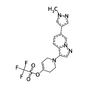 Cn1cc(-c2ccc3c(N4CC=C(OS(=O)(=O)C(F)(F)F)CC4)cnn3c2)cn1